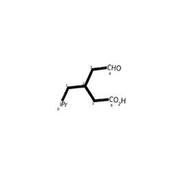 CC(C)CC(CC=O)CC(=O)O